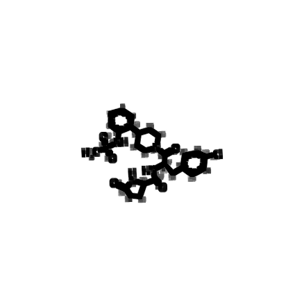 CS(=O)(=O)Nc1ccccc1C1CCN(C(=O)[C@@H](Cc2ccc(Cl)cc2)NC(=O)C2CCC(=O)N2)CC1